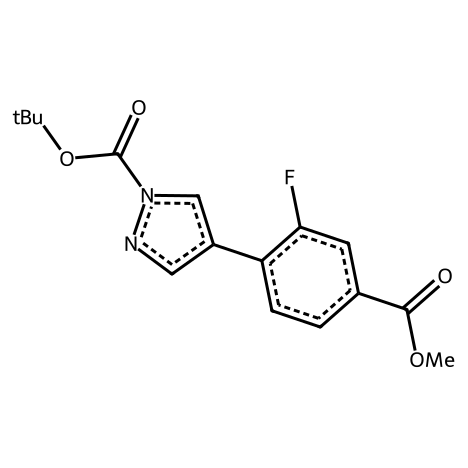 COC(=O)c1ccc(-c2cnn(C(=O)OC(C)(C)C)c2)c(F)c1